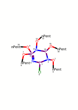 CCCCCON1P(Cl)N=P(OCCCCC)(OCCCCC)N(OCCCCC)P1OCCCCC